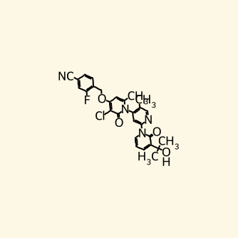 Cc1cnc(-n2cccc(C(C)(C)O)c2=O)cc1-n1c(C)cc(OCc2ccc(C#N)cc2F)c(Cl)c1=O